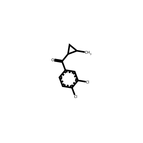 CC1CC1C(=O)c1ccc(Cl)c(Cl)c1